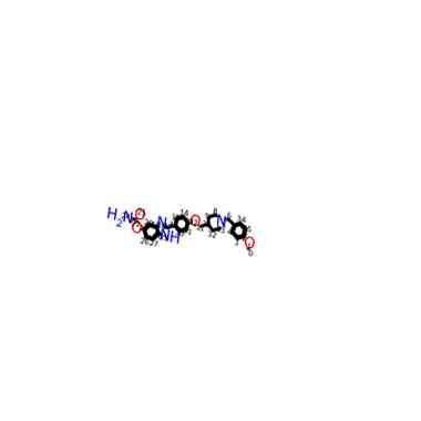 COc1ccc(CN2CCC(COc3ccc(-c4nc5cc(OC(N)=O)ccc5[nH]4)cc3)CC2)cc1